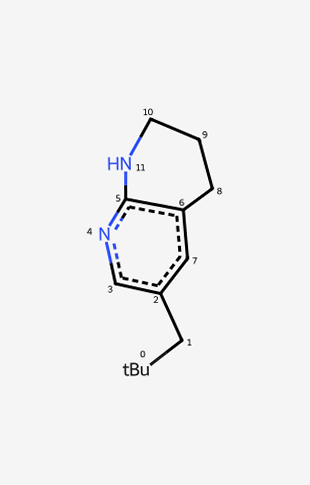 CC(C)(C)Cc1cnc2c(c1)CCCN2